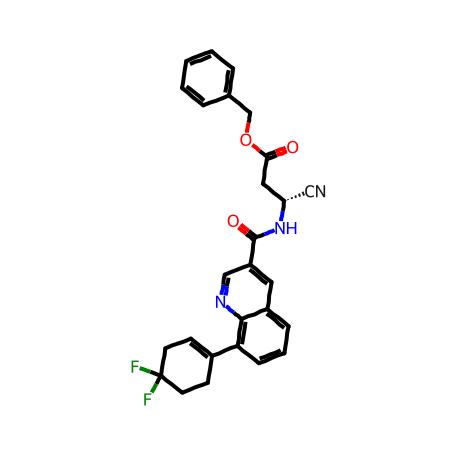 N#C[C@@H](CC(=O)OCc1ccccc1)NC(=O)c1cnc2c(C3=CCC(F)(F)CC3)cccc2c1